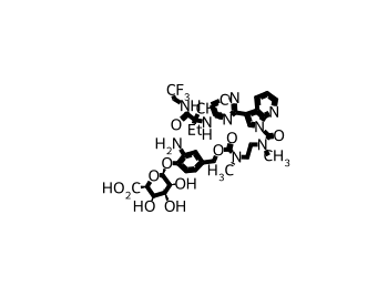 CCC(C)(Nc1ccnc(-c2cn(C(=O)N(C)CCN(C)C(=O)OCc3ccc(O[C@@H]4O[C@H](C(=O)O)[C@@H](O)[C@H](O)[C@H]4O)c(N)c3)c3ncccc23)n1)C(=O)NCC(F)(F)F